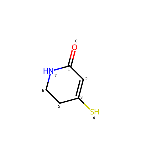 O=C1C=C(S)CCN1